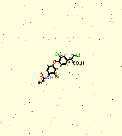 CC(C)C(=O)Nc1ccc(Oc2ccc(C(CCl)C(=O)O)cc2Cl)cc1Br